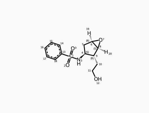 O=S(=O)(N[C@H]1C[C@H]2O[C@H]2[C@@H]1CCO)c1ccccc1